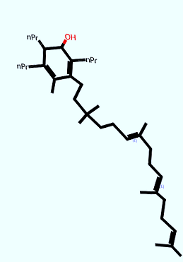 CCCC1=C(CCC(C)(C)CC/C=C(\C)CC/C=C(\C)CCC=C(C)C)C(C)=C(CCC)C(CCC)C1O